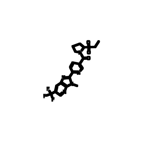 CCS(=O)(=O)C1CCCN1C(=O)c1ccc(-c2nc3cc(C(F)(F)F)cnc3n2C)nc1